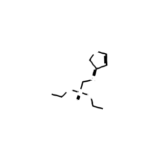 CCOP(=O)(CN=C1C=CSC1)OCC